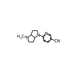 CN1CCC2C1CCN2c1ccc(C#N)cn1